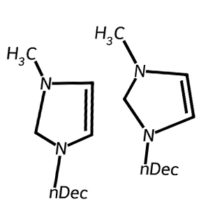 CCCCCCCCCCN1C=CN(C)C1.CCCCCCCCCCN1C=CN(C)C1